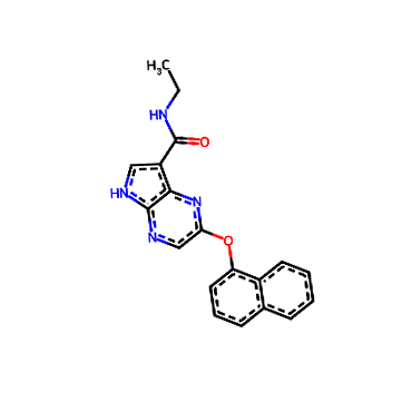 CCNC(=O)c1c[nH]c2ncc(Oc3cccc4ccccc34)nc12